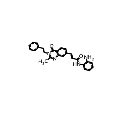 Cc1nc2cc(C=CC(=O)Nc3ccccc3N)ccc2c(=O)n1CCc1ccccc1